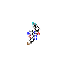 O=C1NCCC2=C1C(c1ccc(Br)cc1)NC(=O)N2c1cccc(C(F)(F)F)c1